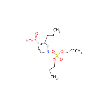 CCCOS(=O)(=O)OCCC.CCCc1cnccc1C(=O)O